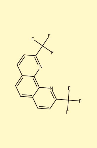 FC(F)(F)c1ccc2ccc3ccc(C(F)(F)F)nc3c2n1